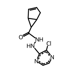 O=C(NNc1nccnc1Cl)C1C2C=CCC21